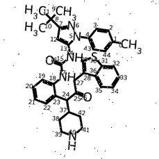 Cc1ccc(-n2nc(C(C)(C)C)cc2NC(=O)Nc2ccccc2C(C(=O)Cc2csc3ccccc23)C2CCNCC2)cc1